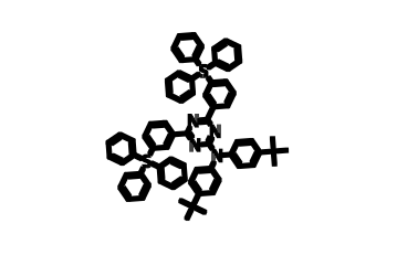 CC(C)(C)c1ccc(N(c2ccc(C(C)(C)C)cc2)c2nc(-c3cccc(S(c4ccccc4)(c4ccccc4)c4ccccc4)c3)nc(-c3cccc(S(c4ccccc4)(c4ccccc4)c4ccccc4)c3)n2)cc1